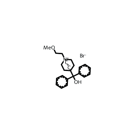 COCC[N+]12CCC(C(O)(c3ccccc3)c3ccccc3)(CC1)CC2.[Br-]